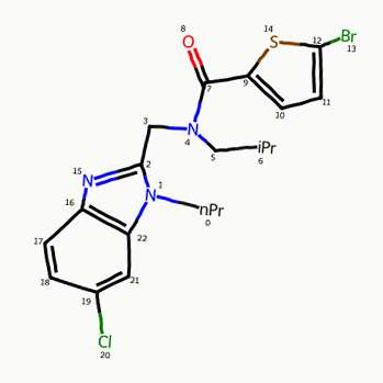 CCCn1c(CN(CC(C)C)C(=O)c2ccc(Br)s2)nc2ccc(Cl)cc21